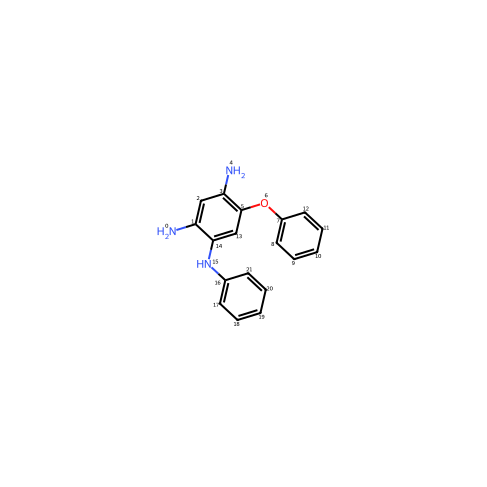 Nc1cc(N)c(Oc2ccccc2)cc1Nc1ccccc1